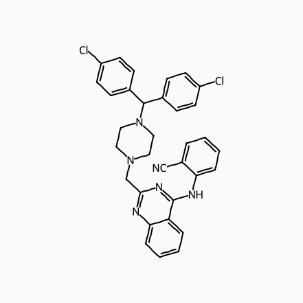 N#Cc1ccccc1Nc1nc(CN2CCN(C(c3ccc(Cl)cc3)c3ccc(Cl)cc3)CC2)nc2ccccc12